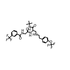 CC(C)(C)NC(=O)C(CNCCc1ccc(OC(F)(F)F)cc1)NC(=O)CNC(=O)c1cccc(C(F)(F)F)c1